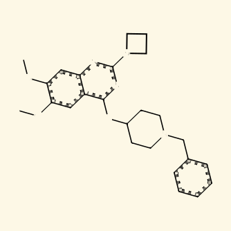 COc1cc2nc(N3CCC3)nc(OC3CCN(Cc4ccccc4)CC3)c2cc1OC